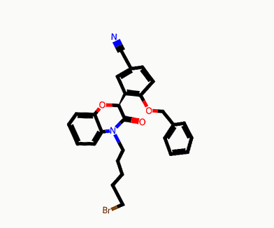 N#Cc1ccc(OCc2ccccc2)c([C@@H]2Oc3ccccc3N(CCCCCBr)C2=O)c1